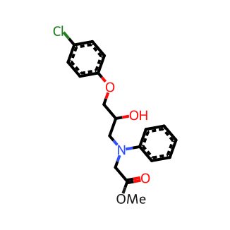 COC(=O)CN(CC(O)COc1ccc(Cl)cc1)c1ccccc1